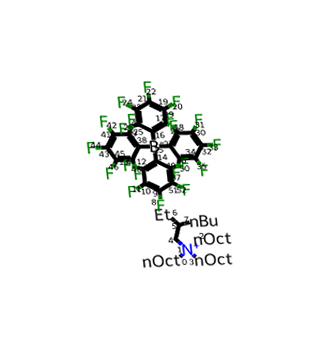 CCCCCCCC[N+](CCCCCCCC)(CCCCCCCC)CC(CC)CCCC.Fc1c(F)c(F)c([B-](c2c(F)c(F)c(F)c(F)c2F)(c2c(F)c(F)c(F)c(F)c2F)c2c(F)c(F)c(F)c(F)c2F)c(F)c1F